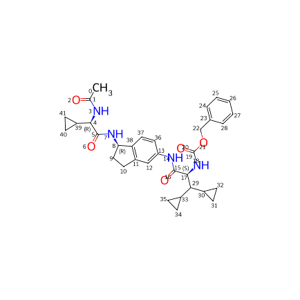 CC(=O)N[C@@H](C(=O)N[C@@H]1CCc2cc(NC(=O)[C@@H](NC(=O)OCc3ccccc3)C(C3CC3)C3CC3)ccc21)C1CC1